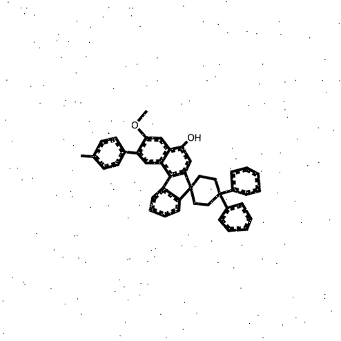 COc1cc2c(O)cc3c(c2cc1-c1ccc(C)cc1)-c1ccccc1C31CCC(c2ccccc2)(c2ccccc2)CC1